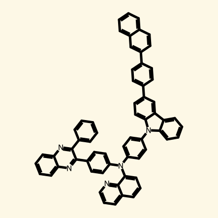 c1ccc(-c2nc3ccccc3nc2-c2ccc(N(c3ccc(-n4c5ccccc5c5cc(-c6ccc(-c7ccc8ccccc8c7)cc6)ccc54)cc3)c3cccc4cccnc34)cc2)cc1